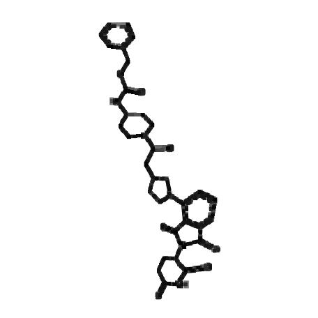 O=C1CCC(N2C(=O)c3cccc(N4CCC(CC(=O)N5CCC(NC(=O)OCc6ccccc6)CC5)C4)c3C2=O)C(=O)N1